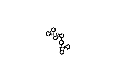 C1=Cc2c(c3ccccc3n2-c2cccc3c2oc2cccc(-c4ccc(-c5nc6ccccc6n5-c5ccccc5)cc4)c23)CC1